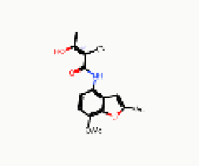 COc1ccc(NC(=O)/C(C#N)=C(/C)O)c2cc(C(C)=O)oc12